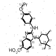 CC1CC(n2c(Nc3ccc(OC(C)C)cc3)nc3cc(C(=O)O)ccc32)CC(C)(C)C1